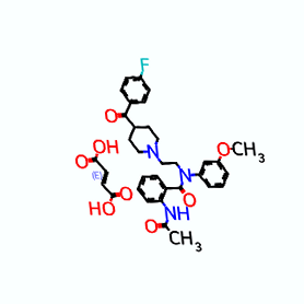 COc1cccc(N(CCN2CCC(C(=O)c3ccc(F)cc3)CC2)C(=O)c2ccccc2NC(C)=O)c1.O=C(O)/C=C/C(=O)O